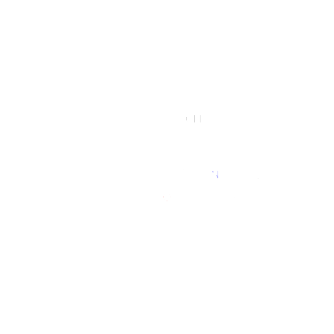 C[C@@H](CC1CCCCC1)C(=O)N1CCC1